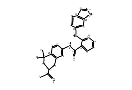 CC(=O)C1Cc2cc(NC(=O)c3cccnc3Nc3ccc4cn[nH]c4c3)ccc2C(C)(C)C1